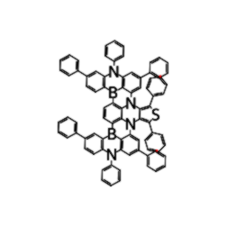 c1ccc(-c2ccc3c(c2)B2c4ccc5c6c4N(c4cc(-c7ccccc7)cc(c42)N3c2ccccc2)c2c(-c3ccccc3)sc(-c3ccccc3)c2N6c2cc(-c3ccccc3)cc3c2B5c2ccc(-c4ccccc4)cc2N3c2ccccc2)cc1